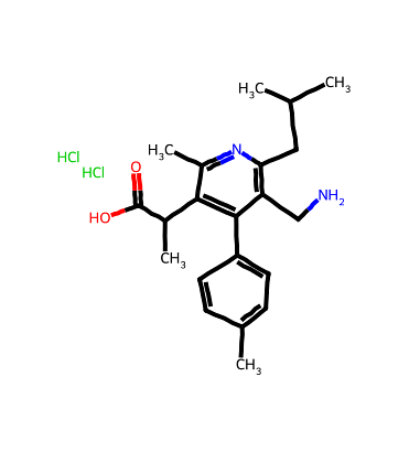 Cc1ccc(-c2c(CN)c(CC(C)C)nc(C)c2C(C)C(=O)O)cc1.Cl.Cl